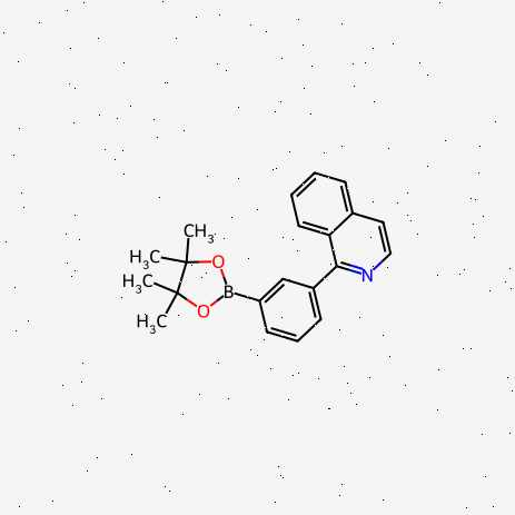 CC1(C)OB(c2cccc(-c3nccc4ccccc34)c2)OC1(C)C